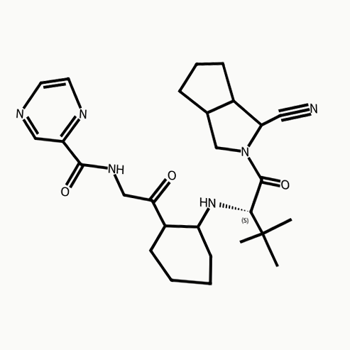 CC(C)(C)[C@H](NC1CCCCC1C(=O)CNC(=O)c1cnccn1)C(=O)N1CC2CCCC2C1C#N